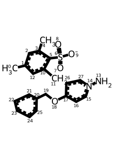 Cc1cc(C)c(S(=O)(=O)[O-])c(C)c1.N[n+]1ccc(OCc2ccccc2)cc1